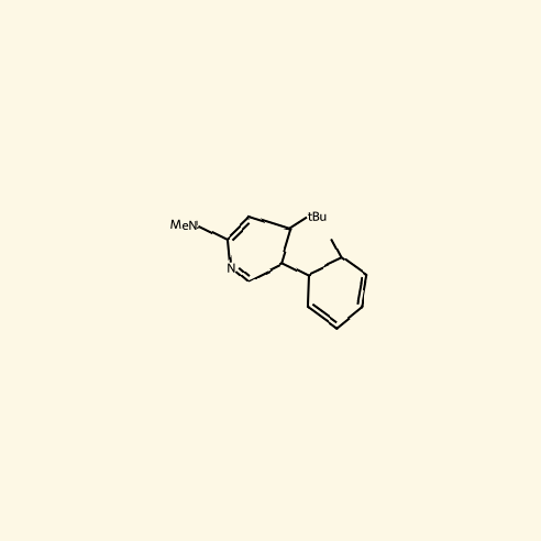 CNC1=CC(C(C)(C)C)C(C2C=CC=CC2C)C=N1